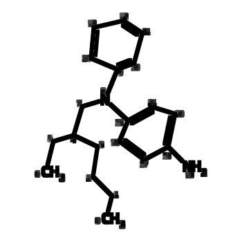 CCCCC(CC)CN(c1ccccc1)c1ccc(N)cc1